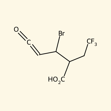 O=C=CC(Br)C(CC(F)(F)F)C(=O)O